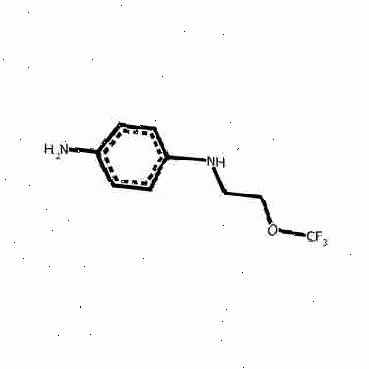 Nc1ccc(NCCOC(F)(F)F)cc1